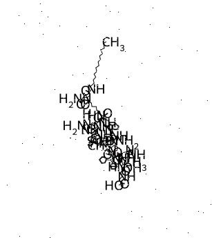 CCCCCCCCCCCCCCCCNC(=O)CN(CC(N)=O)C(=O)CCCCCNC(=O)C(Cc1c[nH]c2ccccc12)NC(=O)C(CCNC(=N)N)NC(=O)C(CSSC)NC(=O)C(CCCNC(=N)N)NC(=O)CC1CCCN1C(=O)C(NC(=O)C(Cc1c[nH]cn1)NC(=O)C(NC(=O)CNCC(=O)O)C(C)O)C(c1ccccc1)c1ccccc1